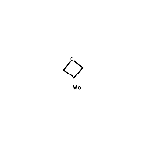 C1COC1.[Mo]